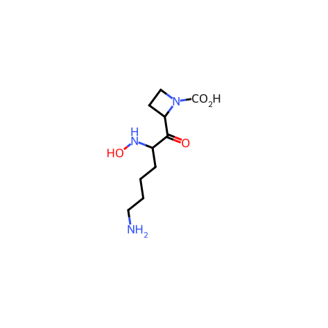 NCCCCC(NO)C(=O)C1CCN1C(=O)O